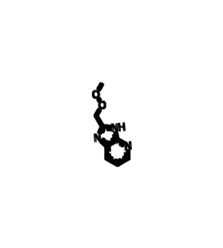 COOCc1nc2cccnc2[nH]1